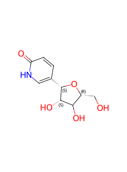 O=c1ccc([C@@H]2O[C@H](CO)C(O)[C@@H]2O)c[nH]1